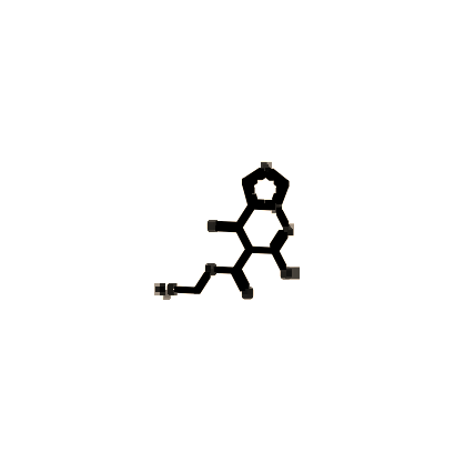 CCOC(=O)C1C(=O)c2cncn2N=C1O